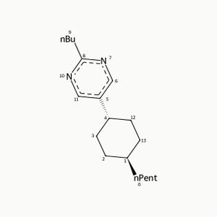 CCCCC[C@H]1CC[C@H](c2cnc(CCCC)nc2)CC1